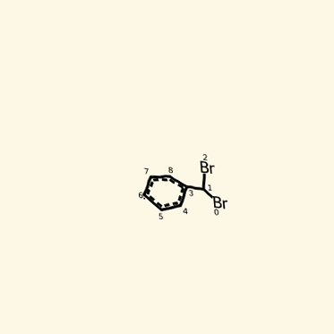 BrC(Br)c1cc[c]cc1